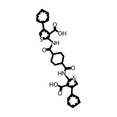 O=C(O)c1c(-c2ccccc2)csc1NC(=O)C1CCC(C(=O)Nc2scc(-c3ccccc3)c2C(=O)O)CC1